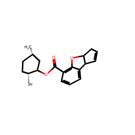 CC(C)[C@@H]1CC[C@H](C)CC1OC(=O)c1cccc2c1OC1CC=CC21